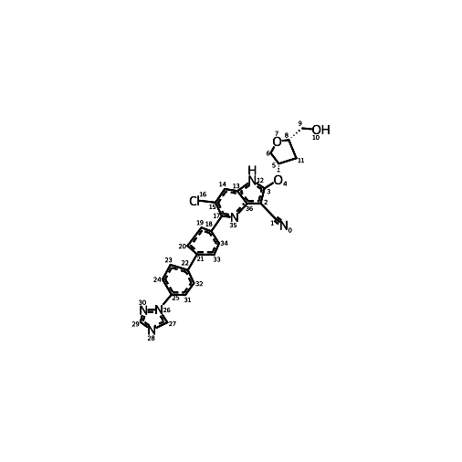 N#Cc1c(O[C@@H]2CO[C@H](CO)C2)[nH]c2cc(Cl)c(-c3ccc(-c4ccc(-n5cncn5)cc4)cc3)nc12